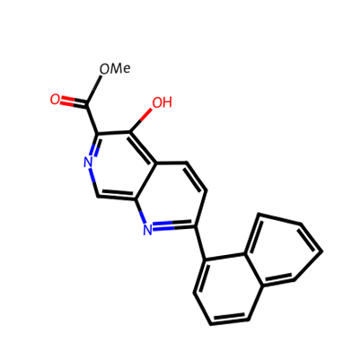 COC(=O)c1ncc2nc(-c3cccc4ccccc34)ccc2c1O